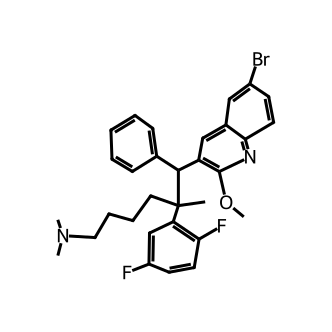 COc1nc2ccc(Br)cc2cc1C(c1ccccc1)C(C)(CCCCN(C)C)c1cc(F)ccc1F